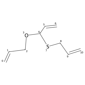 C=CCO[C](C=C)SCC=C